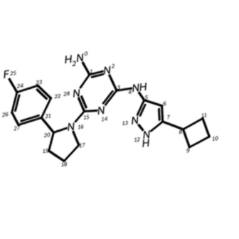 Nc1nc(Nc2cc(C3CCC3)[nH]n2)nc(N2CCCC2c2ccc(F)cc2)n1